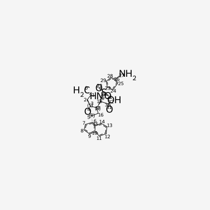 C=CC[C@@H]1O[C@@H](c2cccc3ccccc23)C[C@@H]1C(NS(=O)(=O)c1ccc(N)cc1)C(=O)O